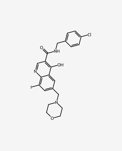 O=C(NCc1ccc(Cl)cc1)c1cnc2c(I)cc(CN3CCOCC3)cc2c1O